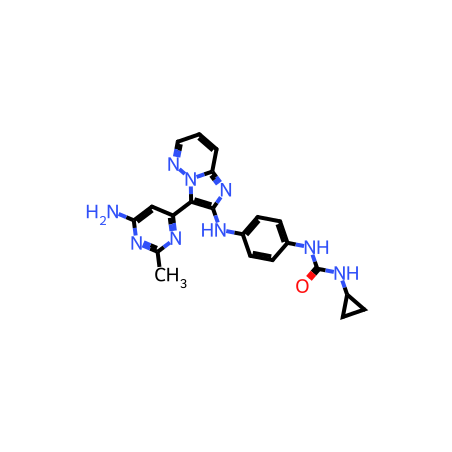 Cc1nc(N)cc(-c2c(Nc3ccc(NC(=O)NC4CC4)cc3)nc3cccnn23)n1